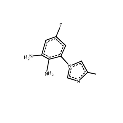 Cc1cn(-c2cc(F)cc(N)c2N)cn1